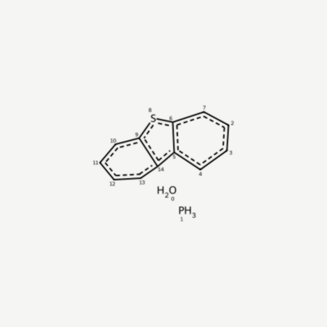 O.P.c1ccc2c(c1)sc1ccccc12